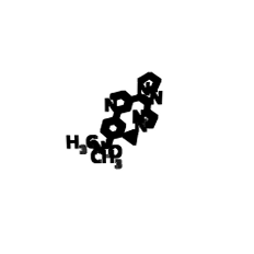 CN(C)C(=O)c1ccc(-c2cc(-c3c(-c4ccn(C5CC5)n4)nc4n3CCC4)ccn2)cc1